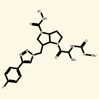 CC(C)NC(=O)N1CC(Cn2cc(-c3ccc(F)cc3)nn2)C2C1CCN2C(=O)C(NC(=O)OC(C)(C)C)C(C)(C)C